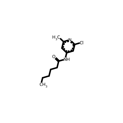 CCCCCC(=O)Nc1cc(C)nc(Cl)c1